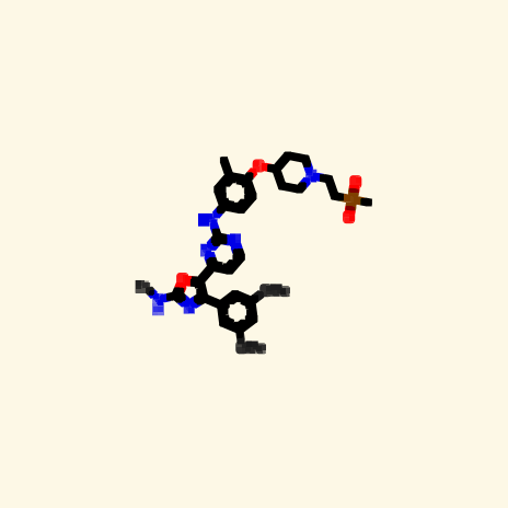 CCNc1nc(-c2cc(OC)cc(OC)c2)c(-c2ccnc(Nc3ccc(OC4CCN(CCS(C)(=O)=O)CC4)c(C)c3)n2)o1